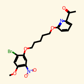 COc1cc(Br)c(OCCCCCOc2cccc(C(C)=O)n2)cc1[N+](=O)[O-]